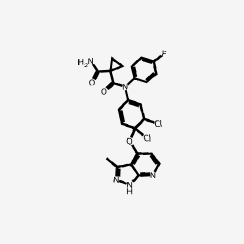 Cc1n[nH]c2nccc(OC3(Cl)C=CC(N(C(=O)C4(C(N)=O)CC4)c4ccc(F)cc4)=CC3Cl)c12